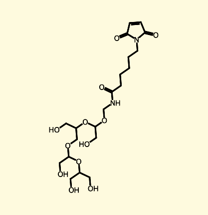 O=C(CCCCCN1C(=O)C=CC1=O)NCOC(CO)OC(CO)COC(CO)OC(CO)CO